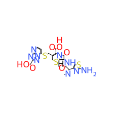 C/N=C(\C(=O)N[C@@H]1C(=O)N2C(C(=O)O)=C(CSc3ccnc4nc(C(=O)O)nn34)CS[C@H]12)c1csc(N)n1